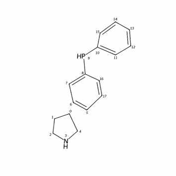 C1CCNC1.c1ccc(Pc2ccccc2)cc1